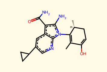 CC1=C(n2c(N)c(C(N)=O)c3cc(C4CC4)cnc32)[C@H](C)CC=C1O